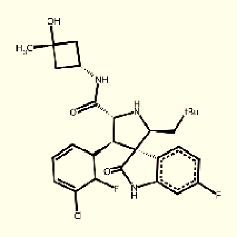 CC(C)(C)C[C@@H]1N[C@@H](C(=O)N[C@H]2C[C@@](C)(O)C2)[C@H](C2C=CC=C(Cl)C2F)[C@]12C(=O)Nc1cc(F)ccc12